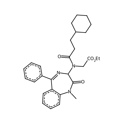 CCOC(=O)CN(C(=O)CCC1CCCCC1)C1N=C(c2ccccc2)c2ccccc2N(C)C1=O